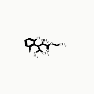 CCOC(=O)C(N)C(c1c(F)cccc1Cl)C(C)C